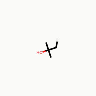 [Li][CH2]C(C)(C)O